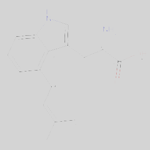 CC(C)=CCc1cccc2[nH]cc(C[C@H](N)C(=O)O)c12